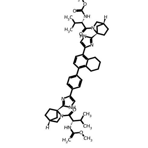 C=C(N[C@H](C(=O)N1C[C@@H]2CC[C@@]1(c1nc(-c3ccc(-c4ccc(-c5c[nH]c([C@@]67CC[C@@H](CN6C(=O)[C@@H](NC(=O)OC)C(C)C)C7)n5)c5c4CCCC5)cc3)c[nH]1)C2)C(C)C)OC